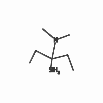 CCC([SiH3])(CC)N(C)C